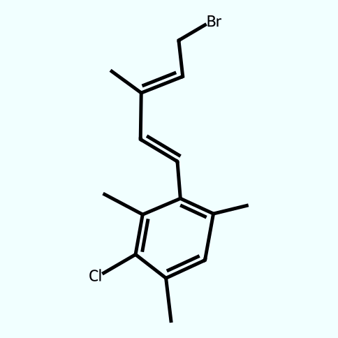 CC(C=Cc1c(C)cc(C)c(Cl)c1C)=CCBr